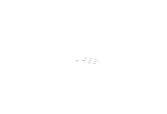 N#[C][Zn].[Pd]